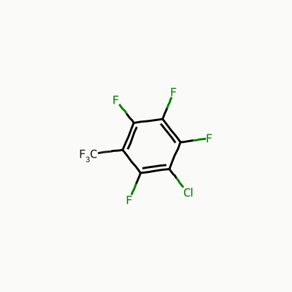 Fc1c(F)c(Cl)c(F)c(C(F)(F)F)c1F